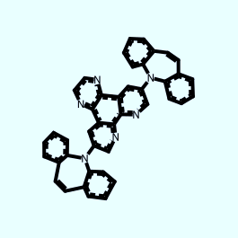 C1=Cc2ccccc2N(c2cnc3c(c2)c2nccnc2c2cc(N4c5ccccc5C=Cc5ccccc54)cnc23)c2ccccc21